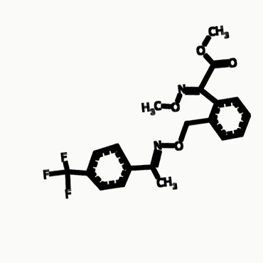 CO/N=C(/C(=O)OC)c1ccccc1CO/N=C(\C)c1ccc(C(F)(F)F)cc1